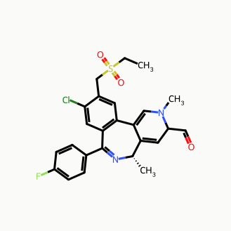 CCS(=O)(=O)Cc1cc2c(cc1Cl)C(c1ccc(F)cc1)=N[C@@H](C)C1=CC(C=O)N(C)C=C12